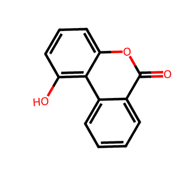 O=c1oc2cccc(O)c2c2ccccc12